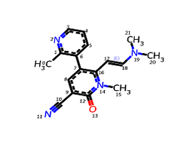 Cc1ncccc1-c1cc(C#N)c(=O)n(C)c1/C=C/N(C)C